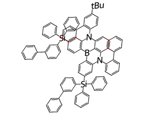 CC(C)(C)c1ccc(N2c3cc([Si](c4ccccc4)(c4ccccc4)c4cccc(-c5ccccc5)c4)ccc3B3c4ccc([Si](c5ccccc5)(c5ccccc5)c5cccc(-c6ccccc6)c5)cc4N(c4ccccc4-c4ccccc4)c4cccc2c43)c(-c2ccccc2)c1